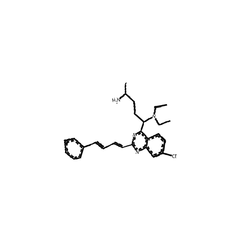 CCN(CC)C(CCC(C)N)c1nc(C=CC=Cc2ccccc2)nc2cc(Cl)ccc12